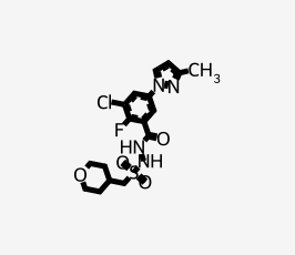 Cc1ccn(-c2cc(Cl)c(F)c(C(=O)NNS(=O)(=O)CC3CCOCC3)c2)n1